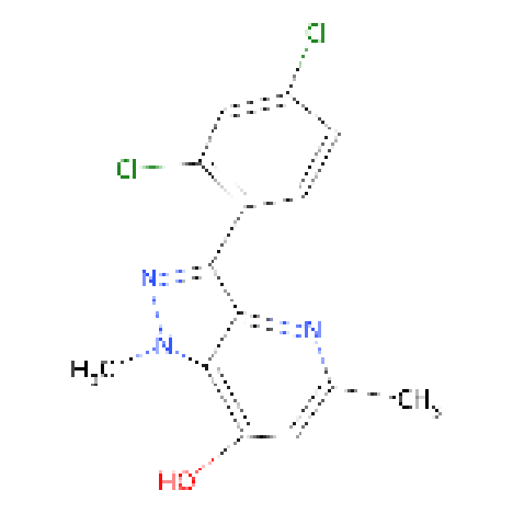 Cc1cc(O)c2c(n1)c(-c1ccc(Cl)cc1Cl)nn2C